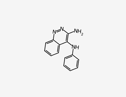 Nc1nnc2ccccc2c1Nc1ccccc1